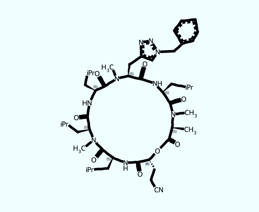 CC(C)C[C@@H]1NC(=O)[C@H](Cc2cn(Cc3ccccc3)nn2)N(C)C(=O)[C@H](CC(C)C)NC(=O)[C@H](CC(C)C)N(C)C(=O)[C@H](CC(C)C)NC(=O)[C@@H](CCC#N)OC(=O)[C@H](C)N(C)C1=O